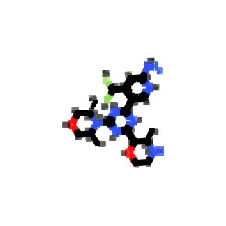 C[C@H]1NCCOC1c1nc(-c2cnc(N)cc2C(F)F)nc(N2[C@@H](C)COC[C@@H]2C)n1